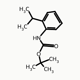 CC(C)c1ccccc1NC(=O)OC(C)(C)C